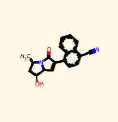 CC1C[C@H](O)C2C=C(c3ccc(C#N)c4ccccc34)C(=O)N12